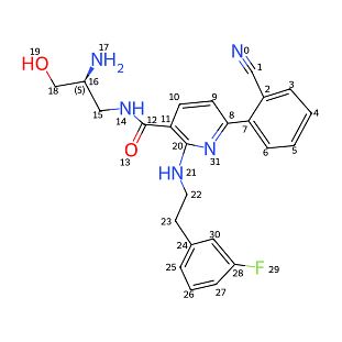 N#Cc1ccccc1-c1ccc(C(=O)NC[C@H](N)CO)c(NCCc2cccc(F)c2)n1